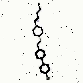 FCC/C=C/[C@H]1CC[C@H](CCc2ccc(-c3ccc(Br)cc3)cc2)CC1